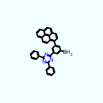 Bc1cc(-c2nc(-c3ccccc3)nc(-c3ccccc3)n2)cc(-c2ccc3ccc4cccc5ccc2c3c45)c1